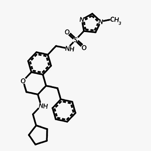 Cn1cnc(S(=O)(=O)NCc2ccc3c(c2)C(Cc2ccccc2)C(NCC2CCCC2)CO3)c1